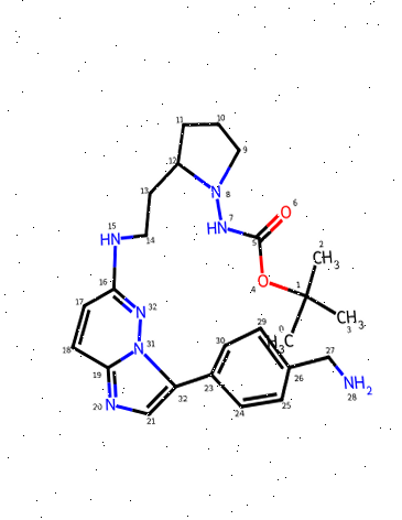 CC(C)(C)OC(=O)NN1CCCC1CCNc1ccc2ncc(-c3ccc(CN)cc3)n2n1